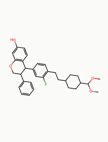 COC(OC)C1CCC(CCc2ccc(C3c4ccc(O)cc4OCC3c3ccccc3)cc2F)CC1